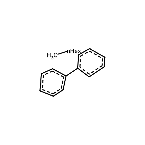 CCCCCCC.c1ccc(-c2ccccc2)cc1